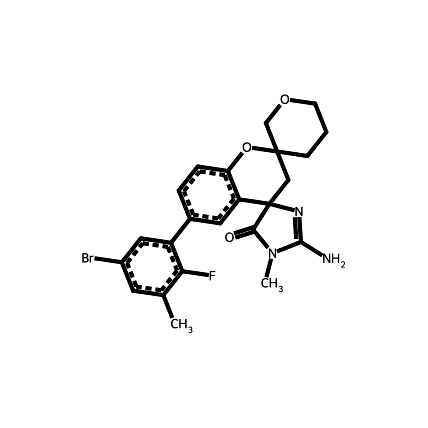 Cc1cc(Br)cc(-c2ccc3c(c2)C2(CC4(CCCOC4)O3)N=C(N)N(C)C2=O)c1F